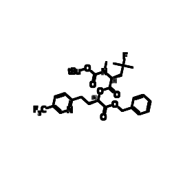 CN(C(=O)OC(C)(C)C)[C@@H](CC(C)(C)F)C(=O)O[C@H](CCc1ccc(C(F)(F)F)cn1)C(=O)OCc1ccccc1